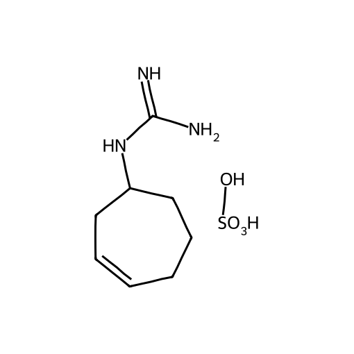 N=C(N)NC1CC=CCCC1.O=S(=O)(O)O